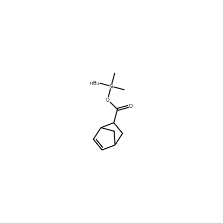 CCCC[Si](C)(C)OC(=O)C1CC2C=CC1C2